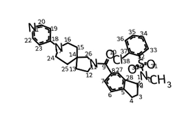 CN([C@@H]1CCc2ccc(C(=O)N3CCC4(CCN(c5ccncc5)CC4)C3)cc21)S(=O)(=O)c1ccccc1Cl